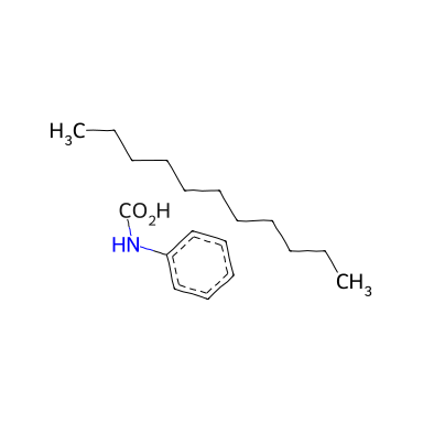 CCCCCCCCCCC.O=C(O)Nc1ccccc1